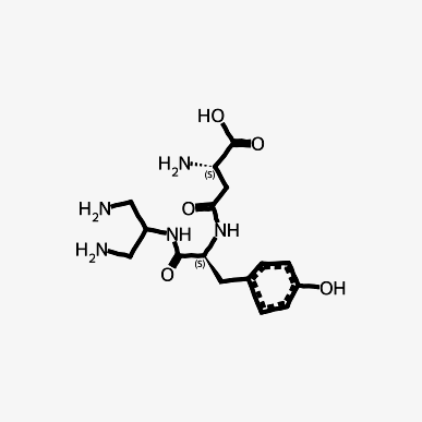 NCC(CN)NC(=O)[C@H](Cc1ccc(O)cc1)NC(=O)C[C@H](N)C(=O)O